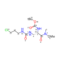 CON(C)C(=O)[C@H](CNC(=O)NCCCCl)NC(=O)OC(C)(C)C